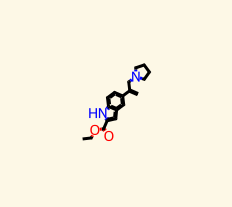 C=C(CN1CCCC1)c1ccc2[nH]c(C(=O)OCC)cc2c1